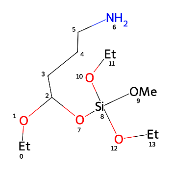 CCOC(CCCN)O[Si](OC)(OCC)OCC